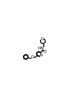 O=C(NCC1CCOCC1)c1ccc(COCc2ccccc2)cn1